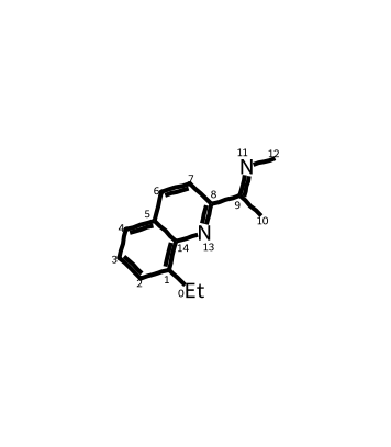 CCc1cccc2ccc(/C(C)=N/C)nc12